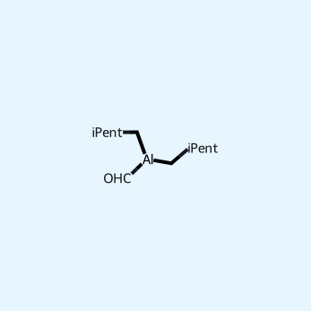 CCCC(C)[CH2][Al]([CH]=O)[CH2]C(C)CCC